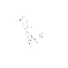 CC(=O)NC[C@H]1CN(c2ccc(N3CCNCC3SC(=S)CCN3CCCC3)c(F)c2)C(=O)O1